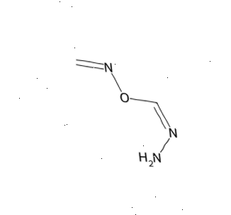 C=NO/C=N\N